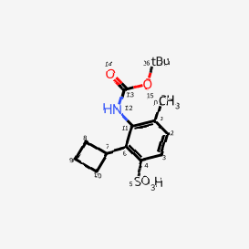 Cc1ccc(S(=O)(=O)O)c(C2CCC2)c1NC(=O)OC(C)(C)C